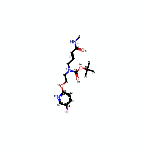 CNC(=O)/C=C/CN(CCOc1ccc(I)cn1)C(=O)OC(C)(C)C